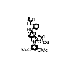 C=CC(=O)Nc1ccccc1Nc1ncc2c(n1)N(CC(=O)OC(C)(C)C)C(=O)N(c1cc(OC)cc(OC)c1)C2